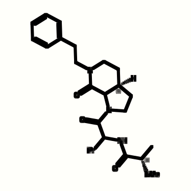 CN[C@@H](C)C(=O)NC(C(=O)N1CC[C@@H]2CCN(CCc3ccccc3)C(=O)C21)C(C)C